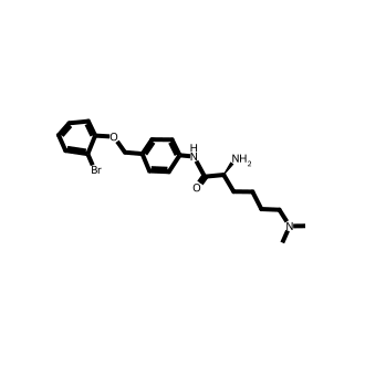 CN(C)CCCC[C@H](N)C(=O)Nc1ccc(COc2ccccc2Br)cc1